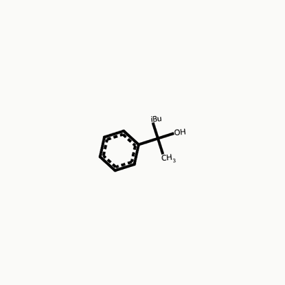 CCC(C)C(C)(O)c1ccccc1